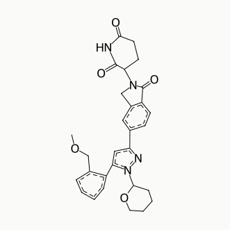 COCc1ccccc1-c1cc(-c2ccc3c(c2)CN(C2CCC(=O)NC2=O)C3=O)nn1C1CCCCO1